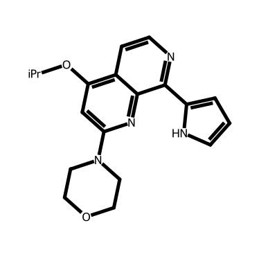 CC(C)Oc1cc(N2CCOCC2)nc2c(-c3ccc[nH]3)nccc12